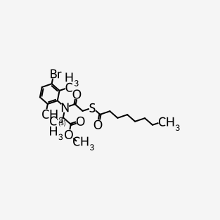 CCCCCCCC(=O)SCC(=O)N(c1c(C)ccc(Br)c1C)[C@@H](C)C(=O)OC